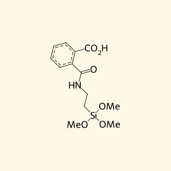 CO[Si](CCNC(=O)c1ccccc1C(=O)O)(OC)OC